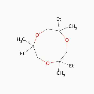 CCC1(C)COC(C)(CC)COC(C)(CC)CO1